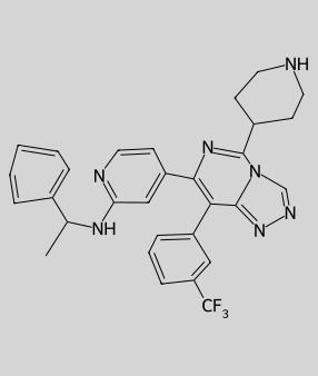 CC(Nc1cc(-c2nc(C3CCNCC3)n3cnnc3c2-c2cccc(C(F)(F)F)c2)ccn1)c1ccccc1